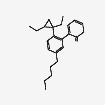 CCCCCc1ccc(C2(CC)CC2CC)c(C2=CC=CCN2)c1